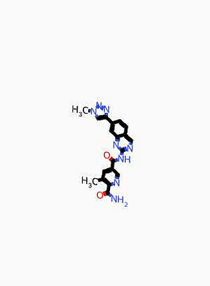 Cc1cc(C(=O)Nc2ncc3ccc(-c4cn(C)nn4)cc3n2)cnc1C(N)=O